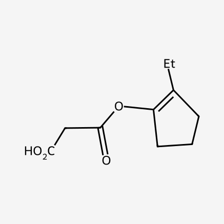 CCC1=C(OC(=O)CC(=O)O)CCC1